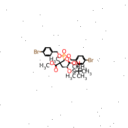 COC(=O)[C@@](C)(C[C@H](O[Si](C)(C)C(C)(C)C)C(=O)O)CP(=O)(OCc1ccc(Br)cc1)OCc1ccc(Br)cc1